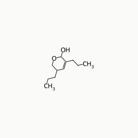 CCCC1=CC(CCC)COC1O